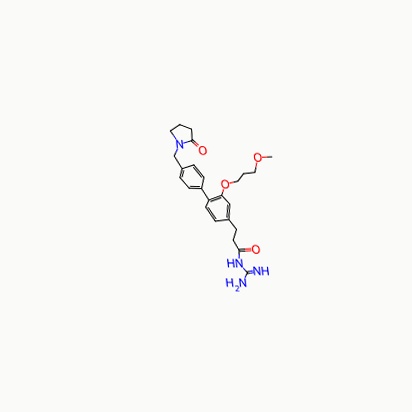 COCCCOc1cc(CCC(=O)NC(=N)N)ccc1-c1ccc(CN2CCCC2=O)cc1